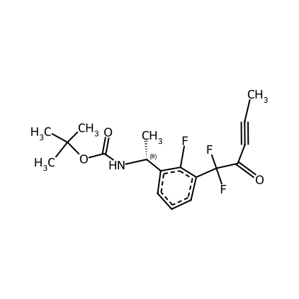 CC#CC(=O)C(F)(F)c1cccc([C@@H](C)NC(=O)OC(C)(C)C)c1F